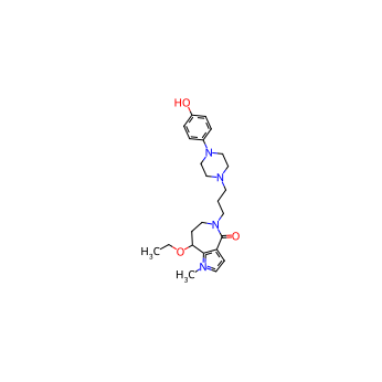 CCOC1CCN(CCCN2CCN(c3ccc(O)cc3)CC2)C(=O)c2ccn(C)c21